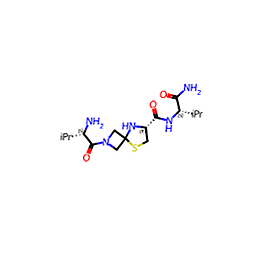 CC(C)[C@H](N)C(=O)N1CC2(C1)N[C@H](C(=O)N[C@H](C(N)=O)C(C)C)CS2